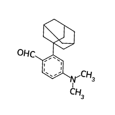 CN(C)c1ccc(C=O)c(C23CC4CC(CC(C4)C2)C3)c1